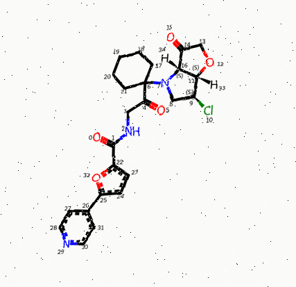 O=C(NCC(=O)C1(N2C[C@H](Cl)[C@H]3OCC(=O)[C@H]32)CCCCC1)c1ccc(-c2ccncc2)o1